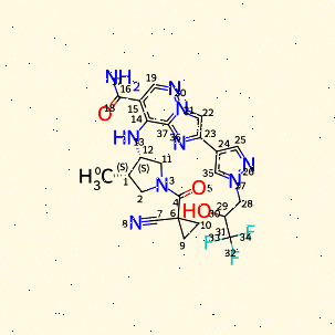 C[C@H]1CN(C(=O)C2(C#N)CC2)C[C@H]1Nc1c(C(N)=O)cnn2cc(-c3cnn(CC(O)C(F)(F)F)c3)nc12